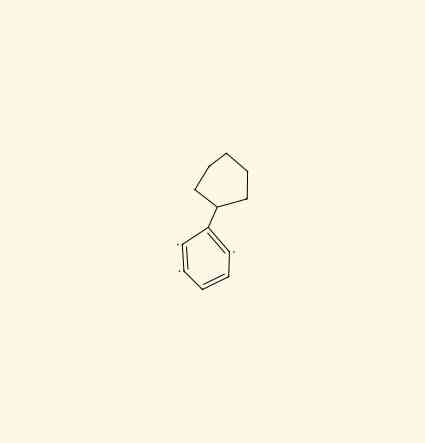 [c]1[c]c(C2CCCCC2)[c]cc1